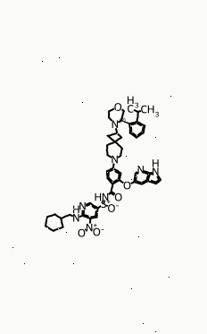 CC(C)c1ccccc1[C@@H]1COCCN1C1CC2(CCN(c3ccc(C(=O)N[S+]([O-])c4cnc(NCC5CCCCC5)c([N+](=O)[O-])c4)c(Oc4cnc5[nH]ccc5c4)c3)CC2)C1